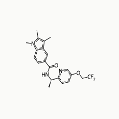 Cc1c(C)n(C)c2ccc(C(=O)N[C@H](C)c3ccc(OCC(F)(F)F)cn3)cc12